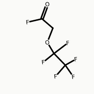 O=C(F)COC(F)(F)C(F)(F)F